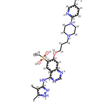 Cc1[nH]nc(Nc2ncnc3cc(OCCCN4CCN(c5ccc(C(=O)O)cn5)CC4)c(S(=O)(=O)C(C)(C)C)cc23)c1C